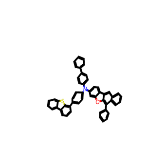 c1ccc(-c2ccc(N(c3ccc(-c4cccc5c4sc4ccccc45)cc3)c3ccc4c(c3)oc3c(-c5ccccc5)c5ccccc5cc34)cc2)cc1